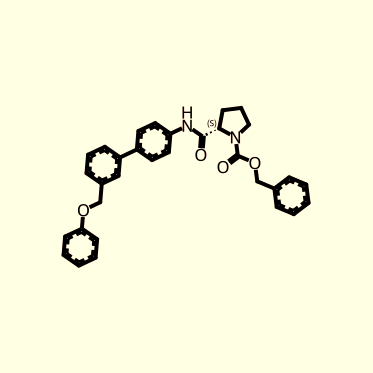 O=C(Nc1ccc(-c2cccc(COc3ccccc3)c2)cc1)[C@@H]1CCCN1C(=O)OCc1ccccc1